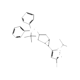 CC(C)n1nc(I)cc1C1C2CC(O[Si](c3ccccc3)(c3ccccc3)C(C)(C)C)CC21